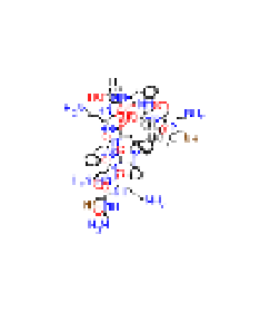 C[C@@H](O)[C@H](NC(=O)[C@H](CCCCN)NC(=O)[C@H](Cc1c[nH]c2ccccc12)NC(=O)[C@H](Cc1ccccc1)NC(=O)[C@H](Cc1ccccc1)NC(=O)[C@H](CC(N)=O)NC(=O)[C@H](CCCCN)NC(=O)[C@H](CS)NC(=O)CN)C(=O)N[C@@H](Cc1ccccc1)C(=O)N[C@H](C(=O)N[C@@H](CO)C(=O)N(CCN)[C@@H](CS)C(=O)O)[C@@H](C)O